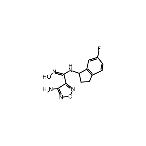 Nc1nonc1/C(=N\O)NC1CCc2ccc(F)cc21